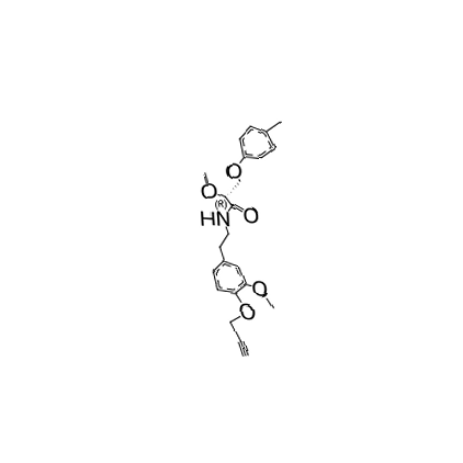 C#CCOc1ccc(CCNC(=O)[C@@H](COc2ccc(C)cc2)OC)cc1OC